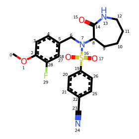 COc1ccc(CN(C2CCCCNC2=O)S(=O)(=O)c2ccc(C#N)cc2)cc1F